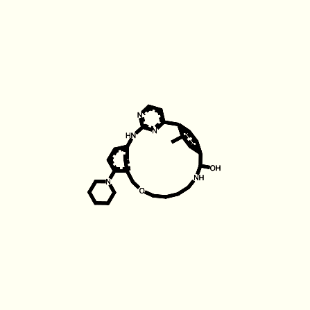 Cc1cc2ccc1-c1ccnc(n1)Nc1ccc(N3CCCCC3)c(c1)COCCCCNC2O